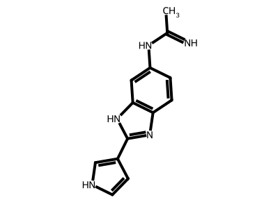 CC(=N)Nc1ccc2nc(-c3cc[nH]c3)[nH]c2c1